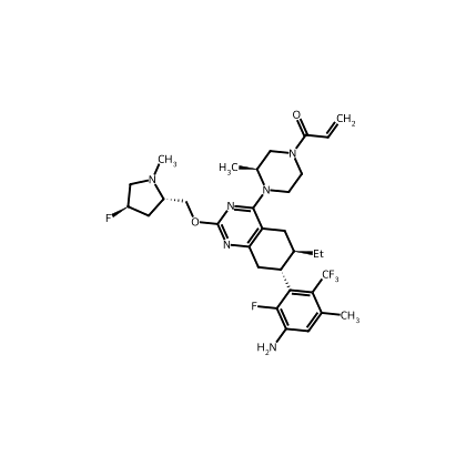 C=CC(=O)N1CCN(c2nc(OC[C@@H]3C[C@@H](F)CN3C)nc3c2C[C@@H](CC)[C@H](c2c(F)c(N)cc(C)c2C(F)(F)F)C3)[C@@H](C)C1